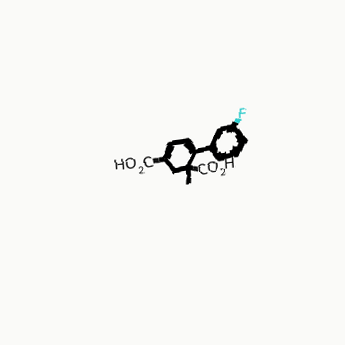 CC1(C(=O)O)CC(C(=O)O)=CC=C1c1cccc(F)c1